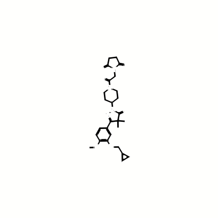 COc1ccc(C2=NN(C3CCN(C(=O)CN4C(=O)CCC4=O)CC3)C(=O)C2(C)C)cc1OCC1CC1